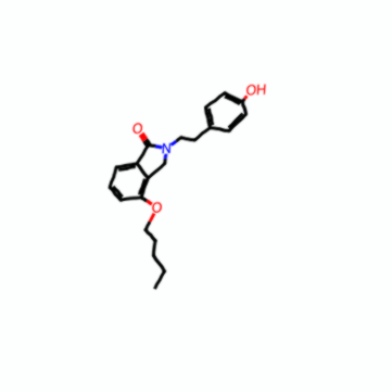 CCCCCOc1cccc2c1CN(CCc1ccc(O)cc1)C2=O